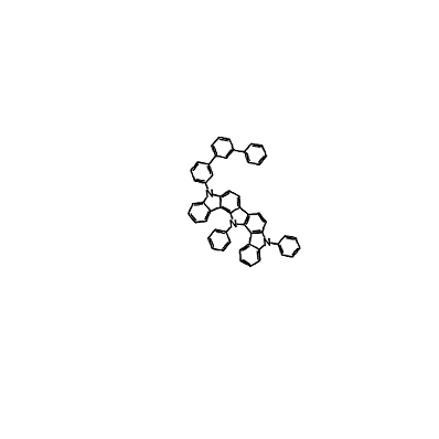 c1ccc(-c2cccc(-c3cccc(-n4c5ccccc5c5c4ccc4c6ccc7c(c8ccccc8n7-c7ccccc7)c6n(-c6ccccc6)c45)c3)c2)cc1